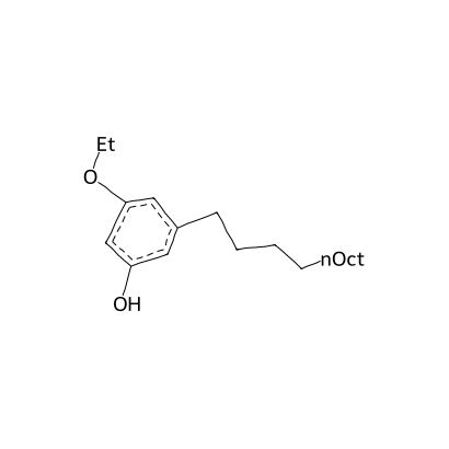 CCCCCCCCCCCCc1cc(O)cc(OCC)c1